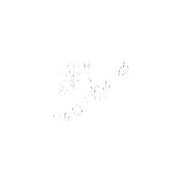 C[C@@H](O)[C@H]1C(=O)N2C(C(=O)O)=C(S[C@H]3C[C@@H](C(=O)N4CCC(n5ccnc5)CC4)N(C(=O)OCc4ccc([N+](=O)[O-])cc4)C3)[C@H](C)[C@H]12